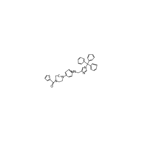 O=C(c1cccs1)N1CCN(c2ccc(NCc3cn(C(c4ccccc4)(c4ccccc4)c4ccccc4)cn3)cc2)CC1